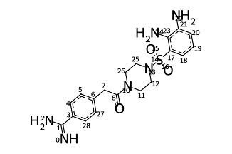 N=C(N)c1ccc(CC(=O)N2CCN(S(=O)(=O)c3cccc(N)c3N)CC2)cc1